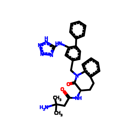 CC(C)(N)CC(=O)N[C@@H]1CCc2ccccc2N(Cc2ccc(-c3ccccc3)c(Nc3nnn[nH]3)c2)C1=O